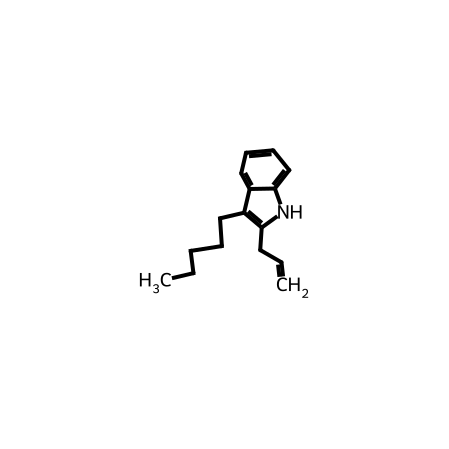 C=CCc1[nH]c2ccccc2c1CCCCC